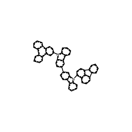 c1ccc2c(c1)-c1cccc3c(-n4c5ccccc5c5ccc(-c6ccc7c(c6)c6ccccc6n7-c6ccc7c8ccccc8c8ccccc8c7c6)cc54)ccc-2c13